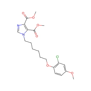 COC(=O)c1ncn(CCCCCCOc2ccc(OC)cc2Cl)c1C(=O)OC